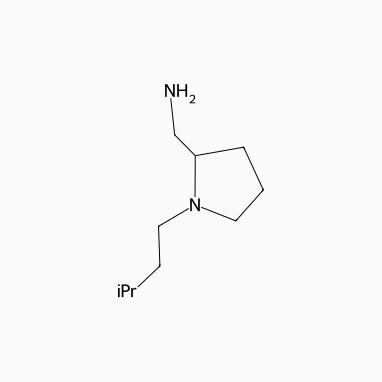 CC(C)CCN1CCCC1CN